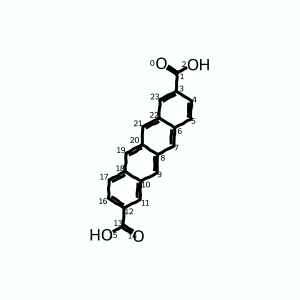 O=C(O)c1ccc2cc3cc4cc(C(=O)O)ccc4cc3cc2c1